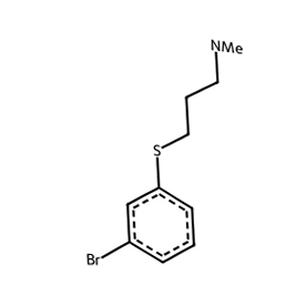 CNCCCSc1cccc(Br)c1